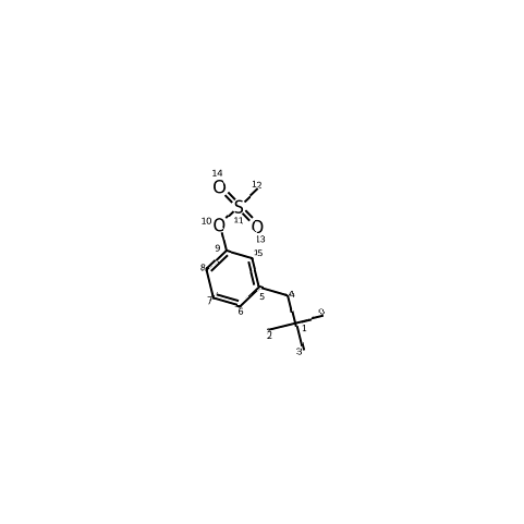 CC(C)(C)Cc1cccc(OS(C)(=O)=O)c1